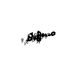 O=C(CN1CC(O)(c2cccc(C(=O)N3C(C(=O)N[C@@H](c4ccc(C(F)(F)F)cc4F)C4CC4)C[C@H]4CC[C@H]43)c2)C1)OCc1ccccc1